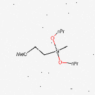 CCCO[Si](C)(CCOC)OCCC